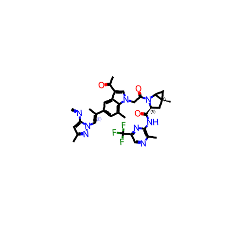 C=Nc1cc(C)nn1/C=C(\C)c1cc(C)c2c(c1)c(C(C)=O)cn2CC(=O)N1C2C[C@]2(C)C[C@H]1C(=O)Nc1nc(C(F)(F)F)cnc1C